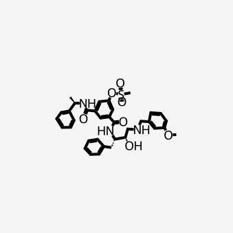 COc1cccc(CNC[C@H](O)[C@H](Cc2ccccc2)NC(=O)c2cc(OS(C)(=O)=O)cc(C(=O)N[C@H](C)c3ccccc3)c2)c1